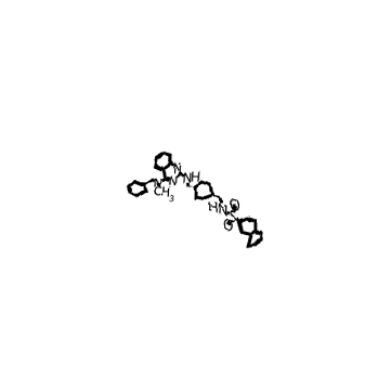 CN(Cc1ccccc1)c1nc(NC[C@H]2CC[C@H](CNS(=O)(=O)c3ccc4ccccc4c3)CC2)nc2ccccc12